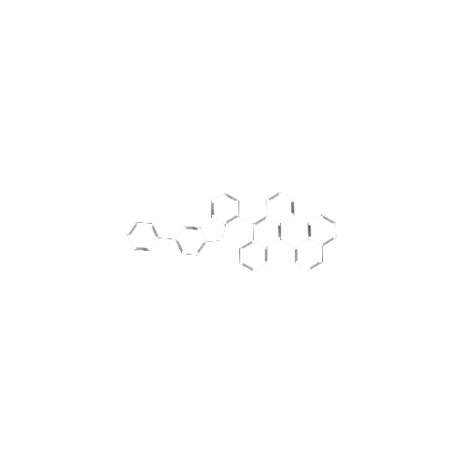 c1ccc(-c2ccc3oc4c(-c5c6ccccc6c(-c6cccc7ccccc67)c6ccccc56)cccc4c3c2)cc1